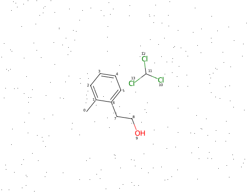 Cc1ccccc1CCO.ClC(Cl)Cl